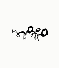 O=C(O)CNc1cccc(S(=O)(=O)Nc2ccccc2)c1